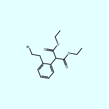 CCOC(=O)C(C(=O)OCC)c1ccccc1CCBr